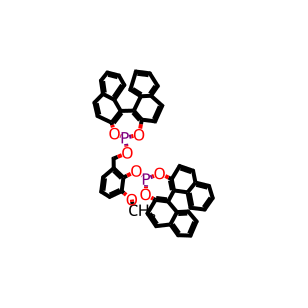 COc1cccc(COp2oc3ccc4ccccc4c3c3c(ccc4ccccc43)o2)c1Op1oc2ccc3ccccc3c2c2c(ccc3ccccc32)o1